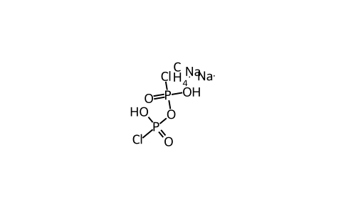 C.O=P(O)(Cl)OP(=O)(O)Cl.[Na].[Na]